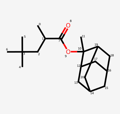 CC(CC(C)(C)C)C(=O)OC1(C)C2CC3CC(C2)CC1C3